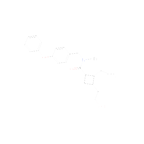 CCCN(Cc1ccc(Oc2ccccc2)cc1)C(=O)C1CC(CCO)C1CC(=O)O